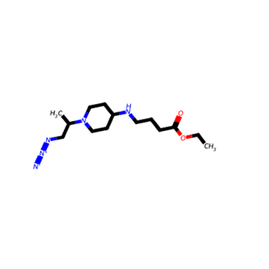 CCOC(=O)CCCNC1CCN(C(C)CN=[N+]=[N-])CC1